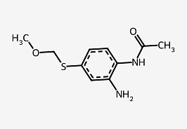 COCSc1ccc(NC(C)=O)c(N)c1